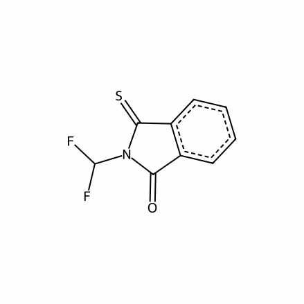 O=C1c2ccccc2C(=S)N1C(F)F